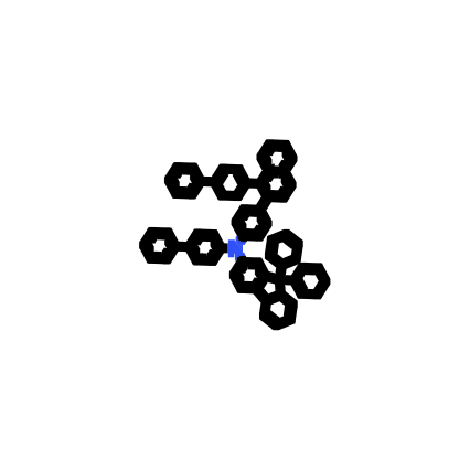 C1=CCC(C2(C3=CCCC=C3)c3cc(N(c4ccc(-c5ccccc5)cc4)c4ccc(-c5ccc6ccccc6c5C5=CC=C(c6ccccc6)CC5)cc4)ccc3C3C=CC=CC32)C=C1